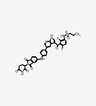 CCCS(=O)(=O)Nc1ccc(F)c(C(=O)c2c[nH]c3ncc(-c4ccc(Bc5ccc6c(c5)C(=O)N(C5CCC(=O)NC5=O)C6=O)cc4)cc23)c1F